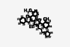 CCC(c1nc2snc(C)c2c(=O)n1Cc1ccccc1)N(CCCN1CCCC1)C(=O)c1ccccc1C